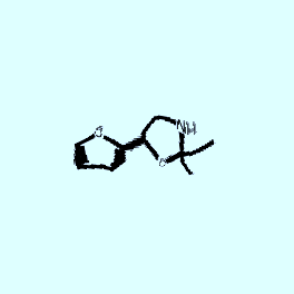 CC1(C)NCC(c2ccco2)O1